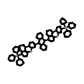 c1ccc([Si](c2ccccc2)(c2ccccc2)c2ccc3c(c2)Oc2ccc(-c4c5ccccc5c(-c5ccc6c(c5)Oc5ccc([Si](c7ccccc7)(c7ccccc7)c7ccccc7)c7cccc-6c57)c5ccccc45)c4cccc-3c24)cc1